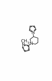 Cn1cccc1N1CCCC(n2cccc2)C1